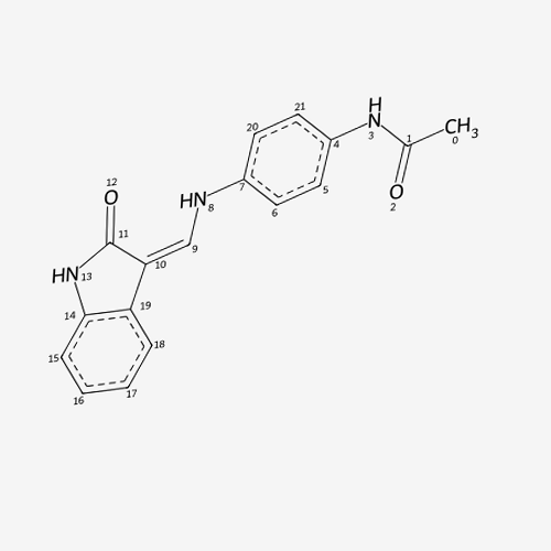 CC(=O)Nc1ccc(N/C=C2\C(=O)Nc3ccccc32)cc1